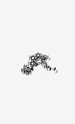 COC(=O)CNCc1cnc2cc(-c3cccc(-c4cccc(-c5ccc(CNC[C@H]6CCC(=O)N6)c(OC)n5)c4Cl)c3Cl)cc(C)n2c1=O